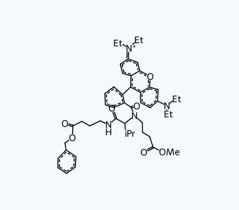 CCN(CC)c1ccc2c(-c3ccccc3C(=O)N(CCCC(=O)OC)C(C(=O)NCCCC(=O)OCc3ccccc3)C(C)C)c3ccc(=[N+](CC)CC)cc-3oc2c1